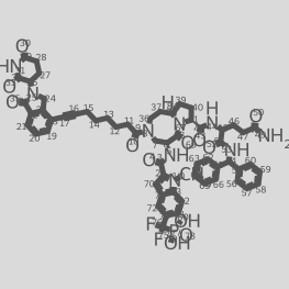 Cn1c(C(=O)N[C@H]2CN(C(=O)CCCCCC#Cc3cccc4c3CN(C3CCC(=O)NC3=O)C4=O)CC[C@H]3CC[C@@H](C(=O)NC(CCC(N)=O)C(=O)NC(c4ccccc4)c4ccccc4)N3C2=O)cc2cc(C(F)(F)P(=O)(O)O)ccc21